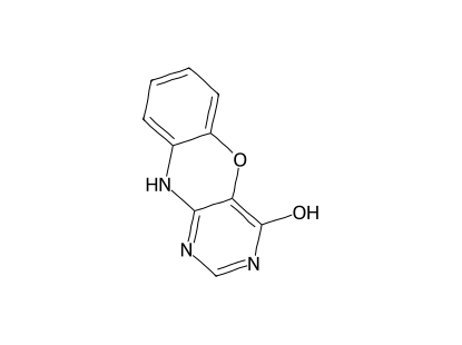 Oc1ncnc2c1Oc1ccccc1N2